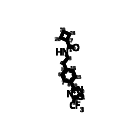 O=C(NCCc1ccc(-c2noc(C(F)(F)F)n2)cc1)C1CCC1